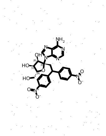 Nc1ncnc2c1ncn2[C@]1(CC(c2ccc([N+](=O)[O-])cc2)c2ccc([N+](=O)[O-])cc2)O[C@H](CO)[C@@H](O)[C@H]1O